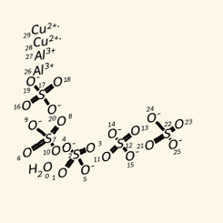 O.O=S(=O)([O-])[O-].O=S(=O)([O-])[O-].O=S(=O)([O-])[O-].O=S(=O)([O-])[O-].O=S(=O)([O-])[O-].[Al+3].[Al+3].[Cu+2].[Cu+2]